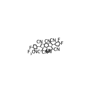 N#CC(C#N)=C1C(c2ccc(F)c(F)c2)=C(C#N)c2c(C#N)c3c(c(C#N)c21)C(=C(C#N)C#N)C(c1ccc(F)c(C(F)(F)F)c1)=C3C#N